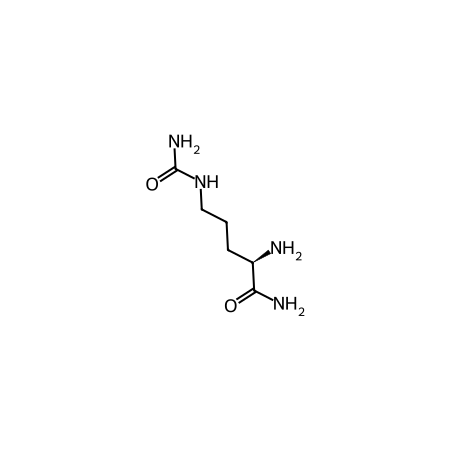 NC(=O)NCCC[C@@H](N)C(N)=O